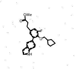 COC(=O)CCc1cc(F)c(OCC2CCCC2)c(-c2ccc3[nH]ccc3c2)c1